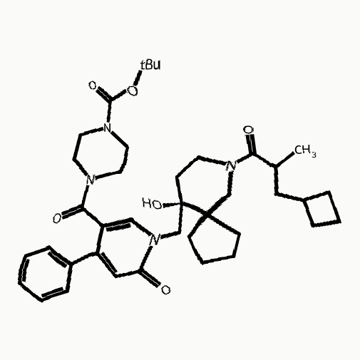 CC(CC1CCC1)C(=O)N1CC[C@@](O)(Cn2cc(C(=O)N3CCN(C(=O)OC(C)(C)C)CC3)c(-c3ccccc3)cc2=O)C2(CCCC2)C1